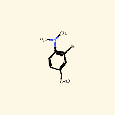 CCc1cc(C=O)ccc1N(C)C